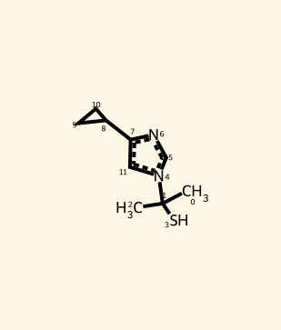 CC(C)(S)n1cnc(C2CC2)c1